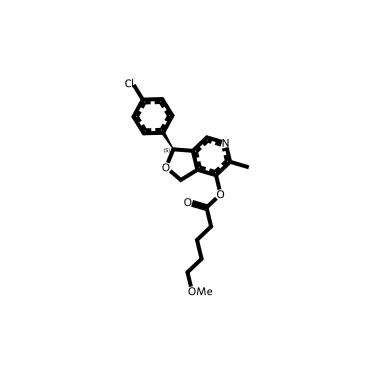 COCCCCC(=O)Oc1c(C)ncc2c1CO[C@H]2c1ccc(Cl)cc1